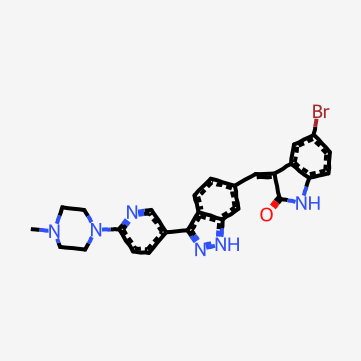 CN1CCN(c2ccc(-c3n[nH]c4cc(C=C5C(=O)Nc6ccc(Br)cc65)ccc34)cn2)CC1